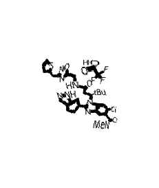 CNC(=O)c1cc2nc(-c3ccc4cn[nH]c4c3)n([C@H](CC(=O)NCc3nc(Cc4cccs4)no3)C(C)(C)C)c2cc1Cl.O=C(O)C(F)(F)F